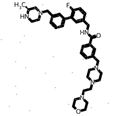 C[C@H]1CN(Cc2cccc(-c3cc(CNC(=O)c4cccc(CN5CCN(CCN6CCOCC6)CC5)c4)ccc3F)c2)CCN1